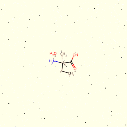 CC[C@@](C)(N)C(=O)O.O